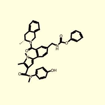 Cc1c(C(=O)N(C)c2ccc(O)cc2)cc(-c2ccc(CNC(=O)Oc3ccccc3)cc2C(=O)N2Cc3ccccc3C[C@H]2C)n1C